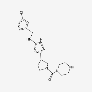 O=C(N1CCNCC1)N1CCC(c2cc(NCc3ccc(Cl)s3)[nH]n2)C1